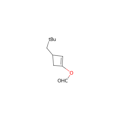 CC(C)(C)CC1C=C(OC=O)C1